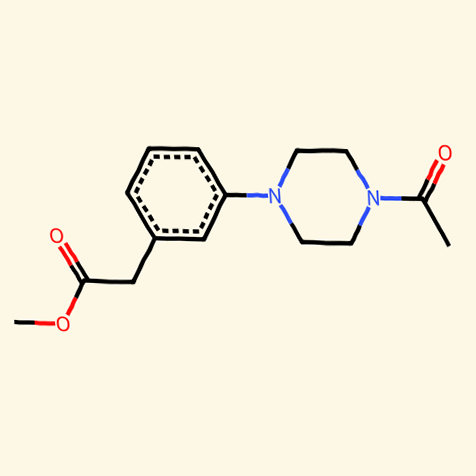 COC(=O)Cc1cccc(N2CCN(C(C)=O)CC2)c1